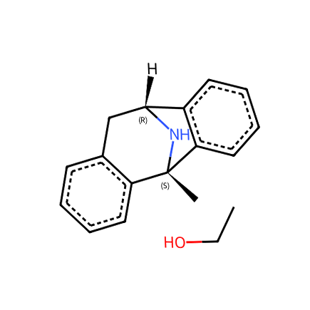 CCO.C[C@]12N[C@H](Cc3ccccc31)c1ccccc12